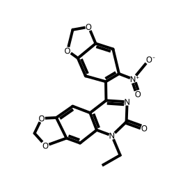 CCn1c(=O)nc(-c2cc3c(cc2[N+](=O)[O-])OCO3)c2cc3c(cc21)OCO3